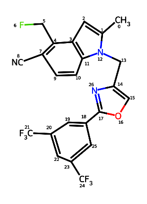 Cc1cc2c(CF)c(C#N)ccc2n1Cc1coc(-c2cc(C(F)(F)F)cc(C(F)(F)F)c2)n1